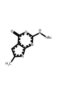 CCCCNc1nc2sc(C)cc2c(=O)o1